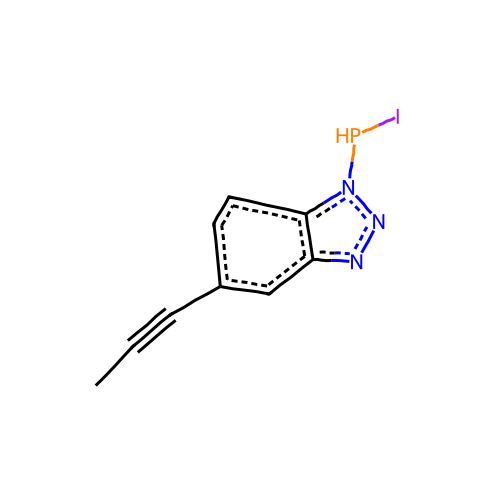 CC#Cc1ccc2c(c1)nnn2PI